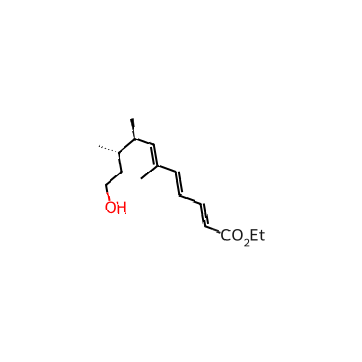 CCOC(=O)/C=C/C=C/C(C)=C/[C@H](C)[C@@H](C)CCO